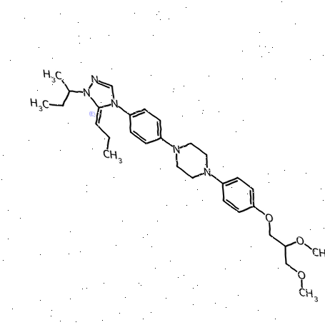 CC/C=C1\N(c2ccc(N3CCN(c4ccc(OCC(COC)OC)cc4)CC3)cc2)C=NN1C(C)CC